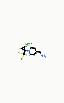 Cl.NCC1CCN(C2(C(F)(F)F)CC2)CC1